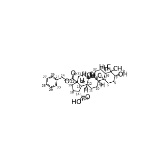 CC1(C)[C@@H](O)CC[C@]2(C)[C@H]3CC[C@@H]4[C@H]5[C@H](C(=O)O)CC[C@]5(C(=O)OCc5ccccc5)CC[C@@]4(C)[C@]3(C)CC[C@@H]12